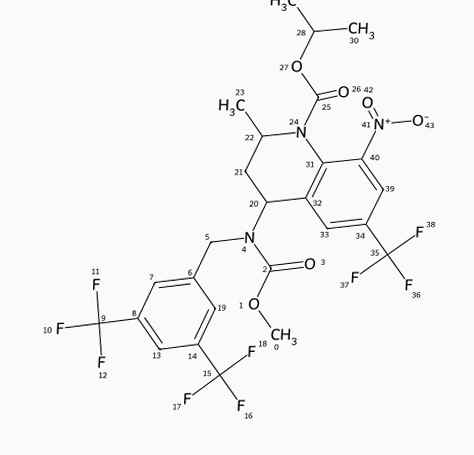 COC(=O)N(Cc1cc(C(F)(F)F)cc(C(F)(F)F)c1)C1CC(C)N(C(=O)OC(C)C)c2c1cc(C(F)(F)F)cc2[N+](=O)[O-]